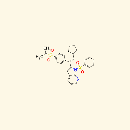 CC(C)S(=O)(=O)c1ccc(/C(=C\C2CCCC2)c2cc3cccnc3n2S(=O)(=O)c2ccccc2)cc1